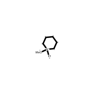 CC[N+]1(OC)CCCCC1